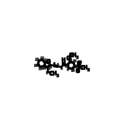 CCc1c(C#CCNc2ccc(S(C)(=O)=O)cc2OC)oc2ccccc12